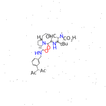 CC(=O)C(C(C)=O)c1cccc(CNC(=O)[C@@H]2CC[C@@H]3CCCC[C@H](N[C@@H](C(C=O)N(C)C(=O)O)C(C)(C)C)C(=O)N32)c1